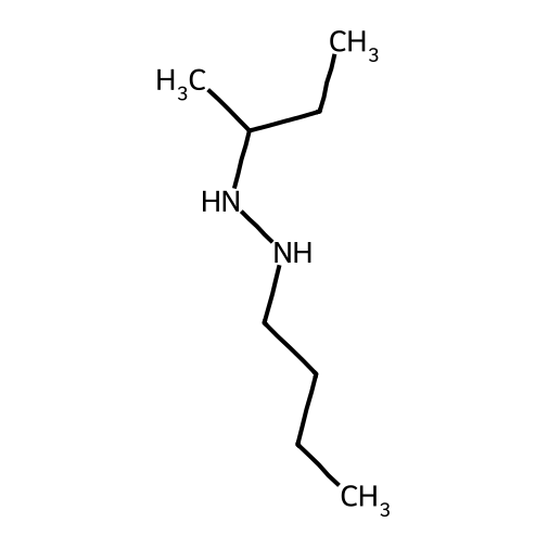 CCCCNNC(C)CC